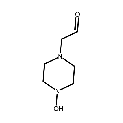 O=CCN1CCN(O)CC1